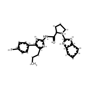 CCCc1sc(NC(=O)C2CCCN2c2nc3ccccc3o2)nc1-c1ccc(F)cc1